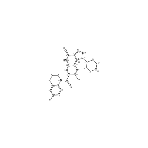 Cc1ccc2c(c1)CCCN2C(=O)c1cc2[nH]c(=O)c3cnc(C4CCOCC4)n3c2cc1C